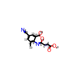 COC(=O)/C=C/c1nc2c(C)cc(C#N)cc2c(=O)o1